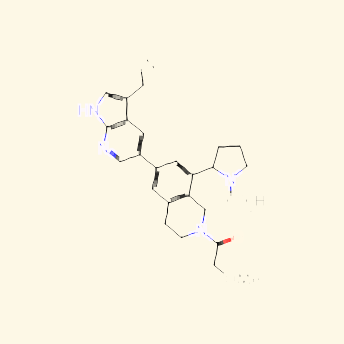 COCC(=O)N1CCc2cc(-c3cnc4[nH]cc(CC#N)c4c3)cc(C3CCCN3C(=O)O)c2C1